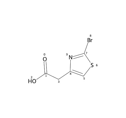 O=C(O)Cc1csc(Br)n1